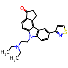 CCN(CC)CCn1c2ccc(-c3ccsn3)cc2c2c3c(ccc21)C(=O)CC3